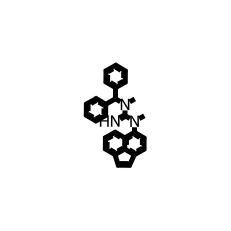 CN(C(=N)N(C)C(c1ccccc1)c1ccccc1)c1ccc2c3c(cccc13)C=C2